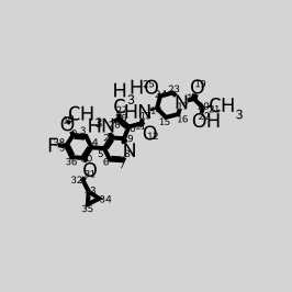 COc1cc(-c2ccnc3c(C(=O)N[C@@H]4CCN(C(=O)[C@H](C)O)C[C@H]4O)c(C)[nH]c23)c(OCC2CC2)cc1F